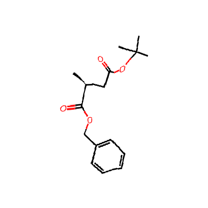 C[C@@H](CC(=O)OC(C)(C)C)C(=O)OCc1ccccc1